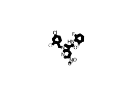 O=C(Nc1c(F)cccc1F)c1cn(Cc2ccc(Cl)cc2Cl)c2ncc([N+](=O)[O-])cc12